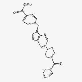 COC(=O)c1ccc(Cn2ccc3cc(C4CCN(C(=O)c5ccccc5)CC4)cnc32)cc1